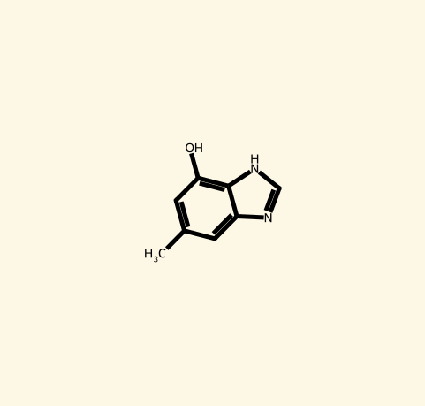 Cc1cc(O)c2[nH]cnc2c1